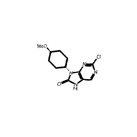 CO[C@H]1CC[C@H](n2c(=O)[nH]c3cnc(Cl)nc32)CC1